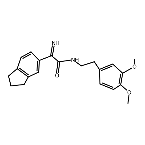 COc1ccc(CCNC(=O)C(=N)c2ccc3c(c2)CCC3)cc1OC